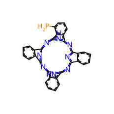 Pc1cccc2c3nc4nc(nc5[nH]c(nc6nc(nc([nH]3)c12)-c1ccccc1-6)c1ccccc51)-c1ccccc1-4